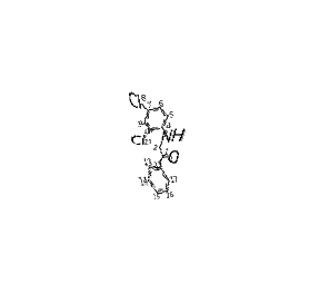 O=C(CNc1ccc(Cl)cc1Cl)c1ccccc1